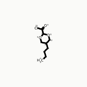 CCCCC1COC(C(=O)Cl)OC1